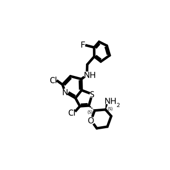 N[C@H]1CCCO[C@@H]1c1sc2c(NCc3ccccc3F)cc(Cl)nc2c1Cl